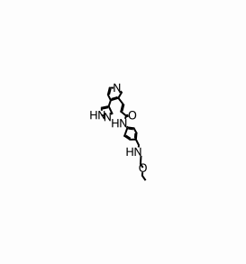 CCOCCNCc1ccc(NC(=O)/C=C/c2cnccc2-c2cn[nH]c2)cc1